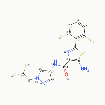 Nc1sc(-c2c(F)cccc2F)nc1C(=O)Nc1cnn(CC(F)F)c1